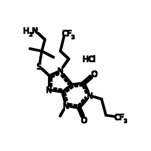 Cl.Cn1c(=O)n(CCC(F)(F)F)c(=O)c2c1nc(SC(C)(C)CN)n2CCC(F)(F)F